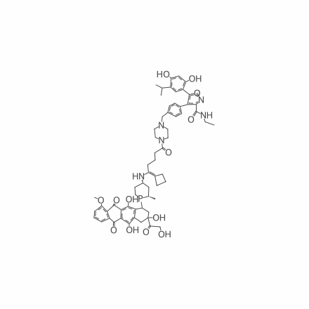 CCNC(=O)c1noc(-c2cc(C(C)C)c(O)cc2O)c1-c1ccc(CN2CCN(C(=O)CCCC(N[C@@H]3CCP(C4CC(O)(C(=O)CO)Cc5c(O)c6c(c(O)c54)C(=O)c4c(OC)cccc4C6=O)[C@H](C)C3)=C3CCC3)CC2)cc1